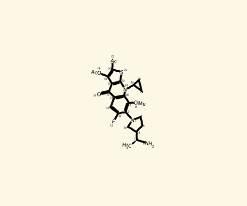 COc1c(N2CCC([C@H](C)N)C2)c(F)cc2c(=O)c3c(OC(C)=O)c(C(C)=O)sc3n(C3CC3)c12